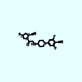 N#Cc1c(F)cc(N2CCC(NCC(=O)N3C[C@@H](F)C[C@H]3C#N)CC2)cc1F